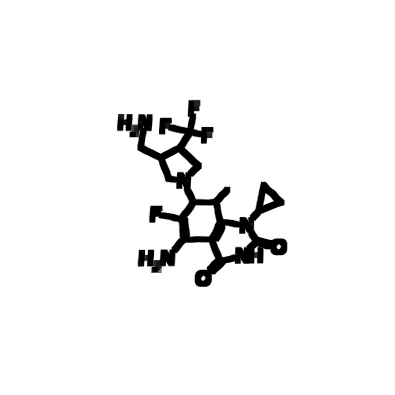 CC1c2c(c(=O)[nH]c(=O)n2C2CC2)C(N)=C(F)C1N1CC(CN)C(C(F)(F)F)C1